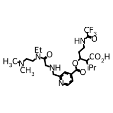 CCN(CCN(C)C)C(=O)CNCc1cc(C(=O)OC(CCNC(=O)C(F)(F)F)C(C(=O)O)C(C)C)ccn1